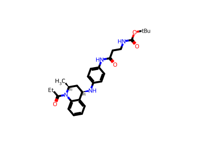 CCC(=O)N1c2ccccc2[C@H](Nc2ccc(NC(=O)CCNC(=O)OC(C)(C)C)cc2)C[C@@H]1C